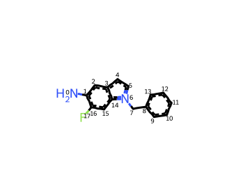 Nc1cc2ccn(Cc3ccccc3)c2cc1F